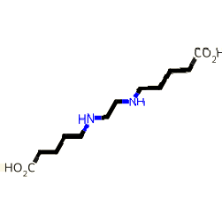 O=C(O)CCCCNCCNCCCCC(=O)O